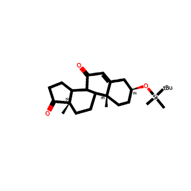 CC(C)(C)[Si](C)(C)O[C@H]1CC[C@@]2(C)C(=CC(=O)C3C2CC[C@]2(C)C(=O)CCC32)C1